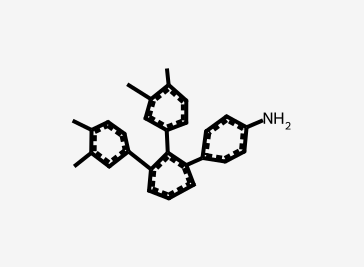 Cc1ccc(-c2cccc(-c3ccc(N)cc3)c2-c2ccc(C)c(C)c2)cc1C